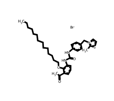 CCCCCCCCCCCCCCOc1c(NC(=O)Nc2ccc(C[n+]3ccsc3C)cc2)cccc1C(C)=O.[Br-]